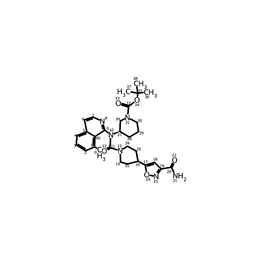 Cc1cccc2ccnc(N(C(=O)N3CCC(c4cc(C(N)=O)no4)CC3)[C@@H]3CCCN(C(=O)OC(C)(C)C)C3)c12